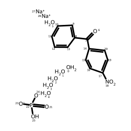 O.O.O.O.O.O.O=C(c1ccccc1)c1ccc([N+](=O)[O-])cc1.O=P([O-])([O-])O.[Na+].[Na+]